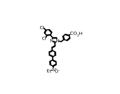 CC[S+]([O-])c1ccc(-c2ccc(C=Cc3nc(-c4ccc(Cl)cc4Cl)cn3Cc3ccc(C(=O)O)cc3)cc2)cc1